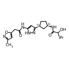 Cc1cc(CC(=O)Nc2cc([C@H]3CC[C@@H](NC(=O)C(O)C(C)C)C3)n[nH]2)on1